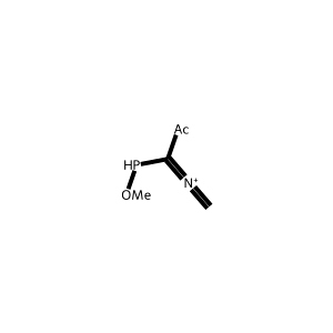 C=[N+]=C(POC)C(C)=O